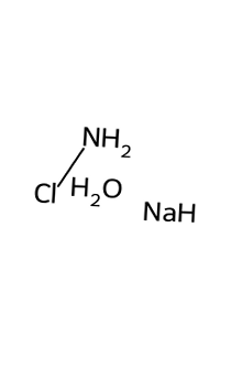 NCl.O.[NaH]